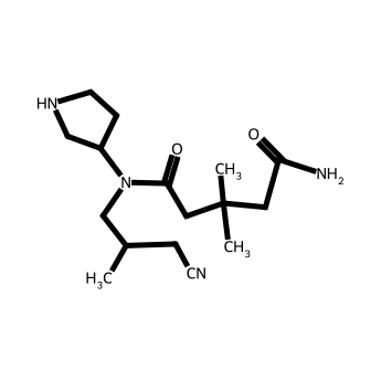 CC(CC#N)CN(C(=O)CC(C)(C)CC(N)=O)C1CCNC1